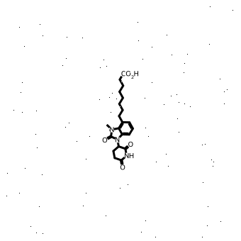 Cn1c(=O)n(C2CCC(=O)NC2=O)c2cccc(CCCCCCCC(=O)O)c21